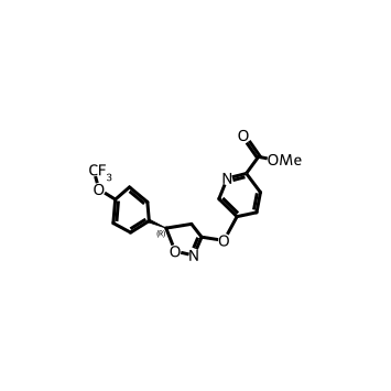 COC(=O)c1ccc(OC2=NO[C@@H](c3ccc(OC(F)(F)F)cc3)C2)cn1